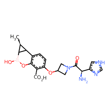 C[C@@H]1C2B(O)Oc3c(ccc(OC4CN(C(=O)[C@H](N)c5c[nH]cn5)C4)c3C(=O)O)C21